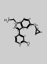 PCn1nc(-c2ccnc(Cl)c2)c2cc(OC3CC3)ccc21